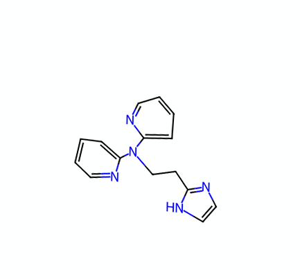 c1ccc(N(CCc2ncc[nH]2)c2ccccn2)nc1